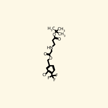 CC(C)(C)OC(=O)CCNCC(=O)OCc1ccc(C(F)(F)F)c(Cl)c1